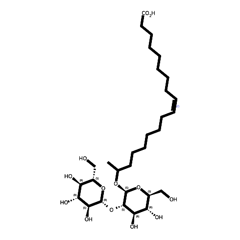 CC(CCCCCC/C=C\CCCCCCCC(=O)O)O[C@H]1O[C@@H](CO)[C@H](O)[C@@H](O)[C@@H]1O[C@H]1O[C@@H](CO)[C@H](O)[C@@H](O)[C@@H]1O